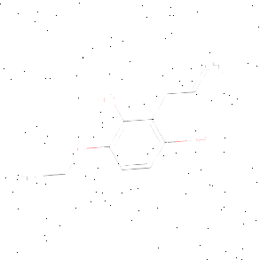 C=CCc1c(O)ccc(OCC)c1O